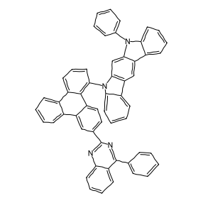 c1ccc(-c2nc(-c3ccc4c(c3)c3ccccc3c3cccc(-n5c6ccccc6c6cc7c8ccccc8n(-c8ccccc8)c7cc65)c34)nc3ccccc23)cc1